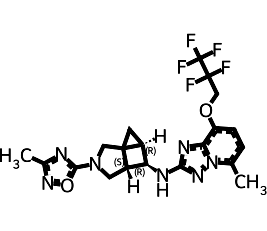 Cc1noc(N2C[C@H]3[C@H](Nc4nc5c(OCC(F)(F)C(F)(F)F)ccc(C)n5n4)[C@@H]4CC34C2)n1